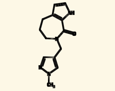 Cn1cc(CN2CCCc3cc[nH]c3C2=O)cn1